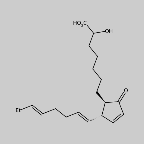 CCC=CCCC=C[C@H]1C=CC(=O)[C@@H]1CCCCCC(O)C(=O)O